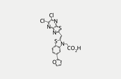 O=C(O)CN1/C(=C/c2nc3nc(Cl)c(Cl)nc3s2)Sc2ccc(-c3ccco3)cc21